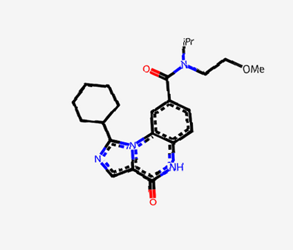 COCCN(C(=O)c1ccc2[nH]c(=O)c3cnc(C4CCCCC4)n3c2c1)C(C)C